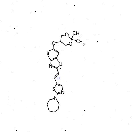 CC1(C)OCC(Oc2ccc3nc(/C=C/c4cnc(N5CCCCCC5)s4)oc3c2)CO1